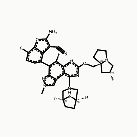 Cn1cc2c(n1)c(-c1ccc(F)c3oc(N)c(C#N)c13)c(F)c1nc(OC[C@@]34CCCN3C[C@H](F)C4)nc(N3C[C@H]4CC[C@@H](C3)N4)c12